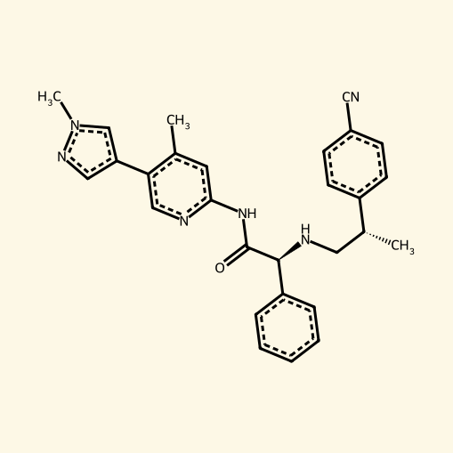 Cc1cc(NC(=O)[C@@H](NC[C@@H](C)c2ccc(C#N)cc2)c2ccccc2)ncc1-c1cnn(C)c1